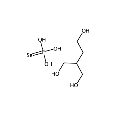 OCCC(CO)CO.OP(O)(O)=[Se]